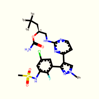 [2H]C([2H])([2H])C[C@@H](CNc1nccc(-c2cn(C(C)C)nc2-c2cc(Cl)cc(NS(C)(=O)=O)c2F)n1)OC(N)=O